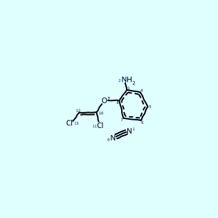 N#N.Nc1ccccc1OC(Cl)=CCl